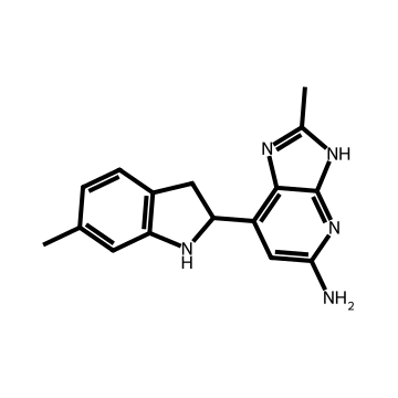 Cc1ccc2c(c1)NC(c1cc(N)nc3[nH]c(C)nc13)C2